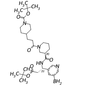 Bc1cncc([C@H](CC(=O)OC(C)(C)C)NC(=O)[C@@H]2CCCN(C(=O)CCC3CCN(C(=O)OC(C)(C)C)CC3)C2)c1